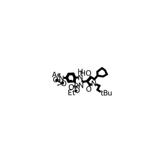 CCOP1(=O)N=C(C2=C(O)C(C3CCCCC3)N(CCC(C)(C)C)C2=O)Nc2ccc(N(C(C)=O)S(C)(=O)=O)cc21